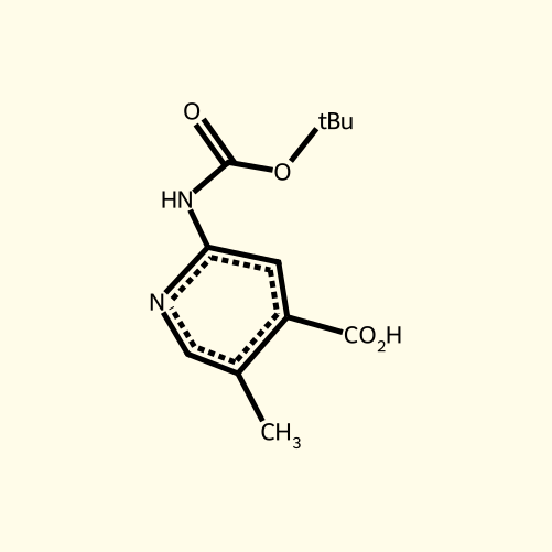 Cc1cnc(NC(=O)OC(C)(C)C)cc1C(=O)O